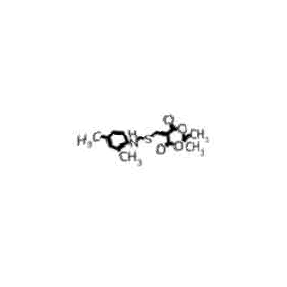 Cc1ccc(NCSC=C2C(=O)OC(C)(C)OC2=O)c(C)c1